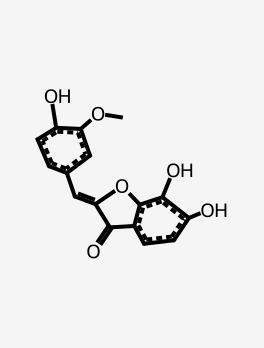 COc1cc(C=C2Oc3c(ccc(O)c3O)C2=O)ccc1O